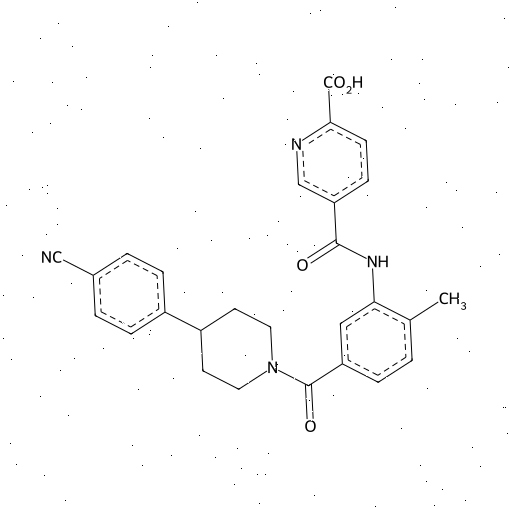 Cc1ccc(C(=O)N2CCC(c3ccc(C#N)cc3)CC2)cc1NC(=O)c1ccc(C(=O)O)nc1